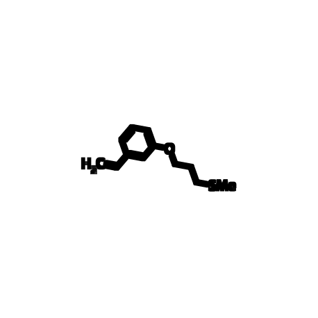 C=Cc1cccc(OCCCSC)c1